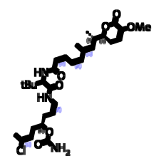 COC1=CC[C@@H]([C@@H](C)/C=C(C)/C=C\C=C/C(=O)NC(C(=O)N/C=C\C[C@H](C/C=C(\C)Cl)OC(N)=O)C(C)(C)C)OC1=O